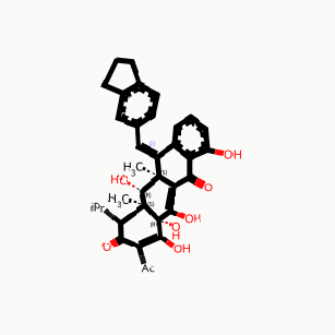 CC(=O)C1=C(O)[C@]2(O)C(O)=C3C(=O)c4c(O)cccc4/C(=C\c4ccc5c(c4)CCC5)[C@]3(C)[C@@H](O)[C@]2(C)C(C(C)C)C1=O